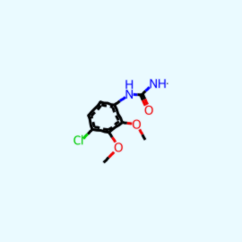 COc1c(Cl)ccc(NC([NH])=O)c1OC